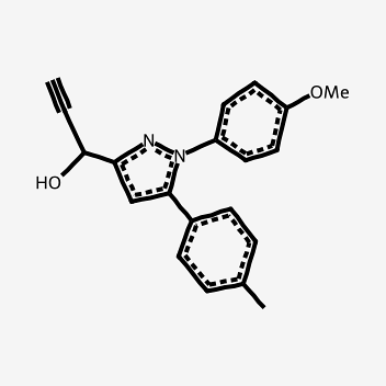 C#CC(O)c1cc(-c2ccc(C)cc2)n(-c2ccc(OC)cc2)n1